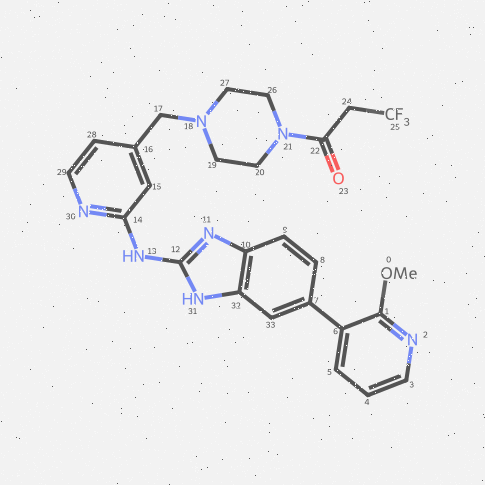 COc1ncccc1-c1ccc2nc(Nc3cc(CN4CCN(C(=O)CC(F)(F)F)CC4)ccn3)[nH]c2c1